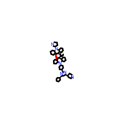 c1ccc(-c2cc(-c3ccncc3)nc(-c3ccc(N4c5ccccc5C5(c6ccccc64)c4ccccc4C4(c6ccccc6N(c6cccnc6)c6ccccc64)c4ccccc45)cc3)n2)cc1